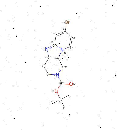 CC(C)(C)OC(=O)N1CCc2nc3cc(Br)ccn3c2C1